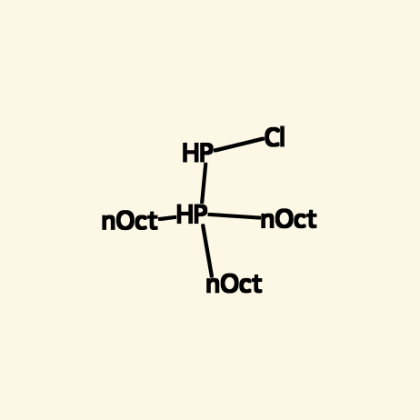 CCCCCCCC[PH](CCCCCCCC)(CCCCCCCC)PCl